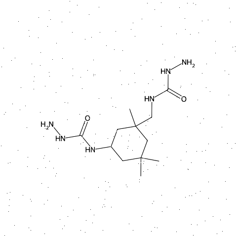 CC1(C)CC(NC(=O)NN)CC(C)(CNC(=O)NN)C1